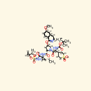 CC[C@@H]1C[C@]1(NC(=O)[C@@H]1C[C@@H](Oc2nccc3cc(OC)ccc23)CN1C(=O)[C@@H](NC(=O)OC(C)(C)C)C1CCS(=O)(=O)CC1)C(=O)NS(=O)(=O)OC1(C)CC1